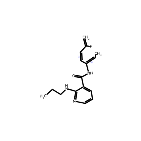 C=C(F)/C=C\C(=C/C)NC(=O)c1cccnc1NCCC